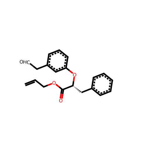 C=CCOC(=O)[C@@H](Cc1ccccc1)Oc1cccc(CC=O)c1